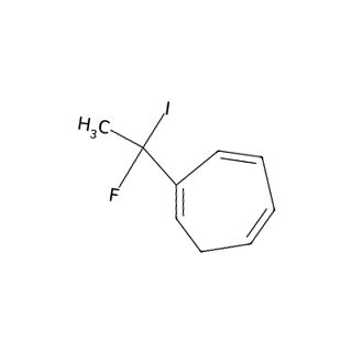 CC(F)(I)C1=CCC=CC=C1